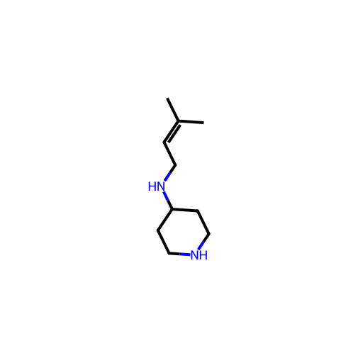 CC(C)=CCNC1CCNCC1